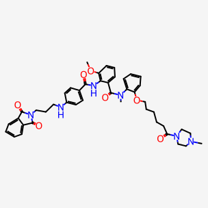 COc1cccc(C(=O)N(C)c2ccccc2OCCCCCC(=O)N2CCN(C)CC2)c1NC(=O)c1ccc(NCCCN2C(=O)c3ccccc3C2=O)cc1